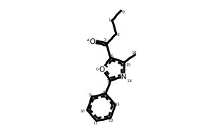 CCCC(=O)c1oc(-c2ccccc2)nc1C